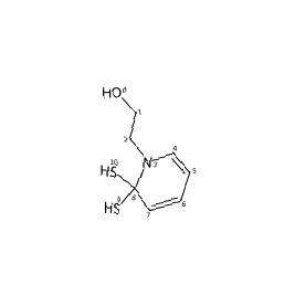 OCCN1C=CC=CC1(S)S